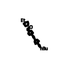 CCCCC#Cc1ccc(C#Cc2ccc(OC(=O)[C@H]3CC[C@H](CC)CC3)cc2)cc1